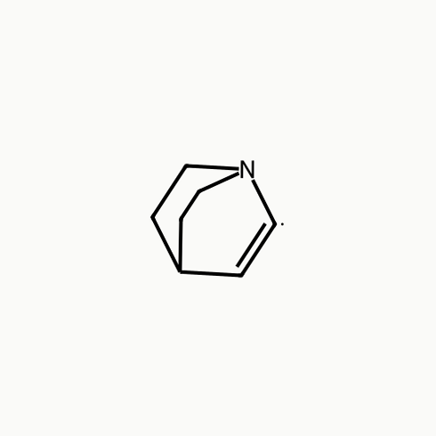 [C]1=CC2CCN1CC2